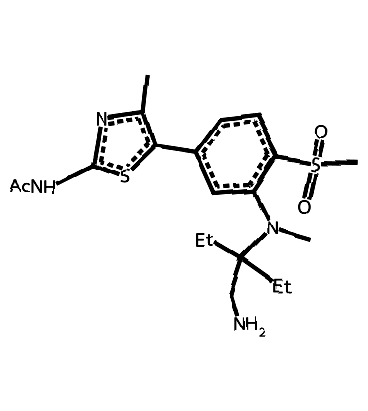 CCC(CC)(CN)N(C)c1cc(-c2sc(NC(C)=O)nc2C)ccc1S(C)(=O)=O